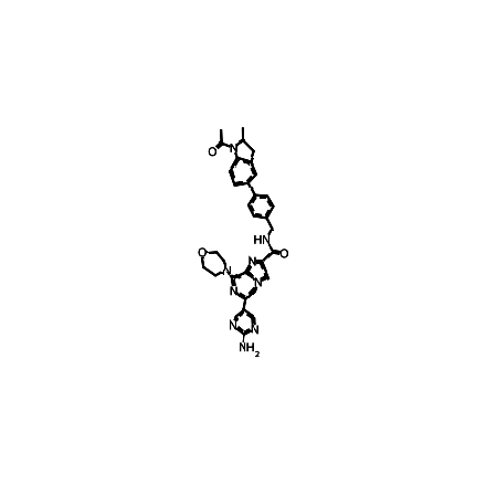 CC(=O)N1c2ccc(-c3ccc(CNC(=O)c4cn5cc(-c6cnc(N)nc6)nc(N6CCOCC6)c5n4)cc3)cc2CC1C